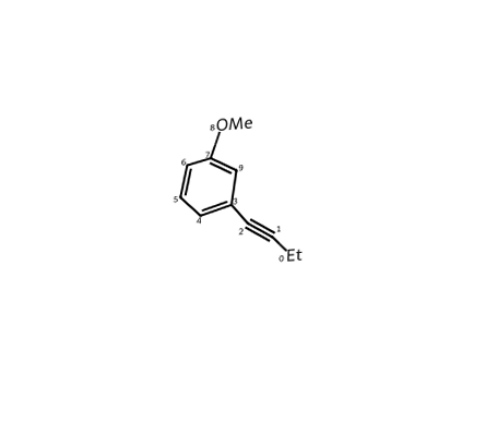 CCC#Cc1cccc(OC)c1